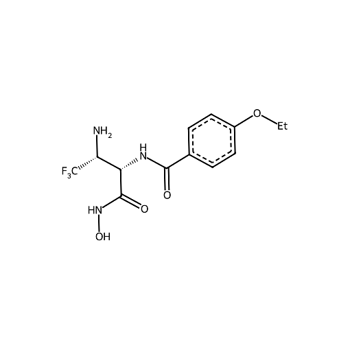 CCOc1ccc(C(=O)N[C@H](C(=O)NO)[C@@H](N)C(F)(F)F)cc1